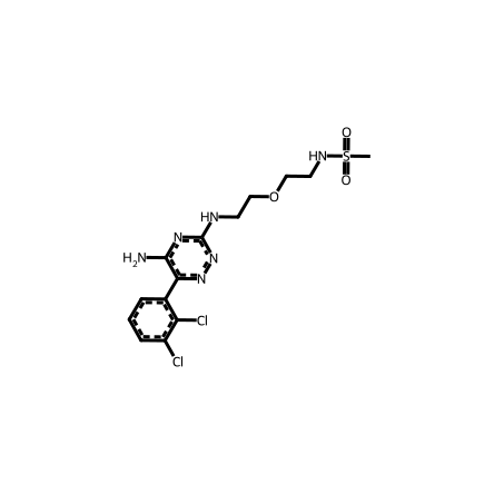 CS(=O)(=O)NCCOCCNc1nnc(-c2cccc(Cl)c2Cl)c(N)n1